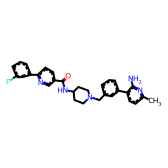 Cc1ccc(-c2cccc(CN3CCC(NC(=O)c4ccc(-c5cccc(F)c5)nc4)CC3)c2)c(N)n1